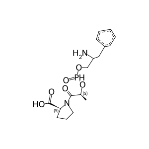 C[C@H](O[PH](=O)OCC(N)Cc1ccccc1)C(=O)N1CCC[C@H]1C(=O)O